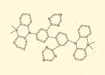 C[Si]1(C)c2ccccc2N(c2ccc(-c3ccc(N4c5ccccc5[Si](C)(C)c5ccccc54)cc3-c3ncncn3)c(-c3ncncn3)c2)c2ccccc21